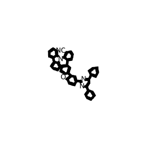 N#Cc1cccc(-c2ccc3oc4ccc(-c5nc(-c6ccccc6)cc(-c6ccccc6)n5)cc4c3c2)c1-n1c2ccccc2c2ccccc21